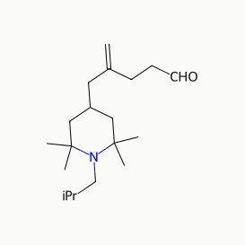 C=C(CCC=O)CC1CC(C)(C)N(CC(C)C)C(C)(C)C1